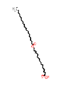 CCCCCCCCC=CCCCCCCCCCCCC(=O)OCCCCCCCCCCCCCCCC(=O)O